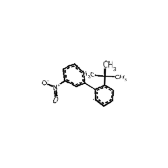 CC(C)(C)c1ccc[c]c1-c1cccc([N+](=O)[O-])c1